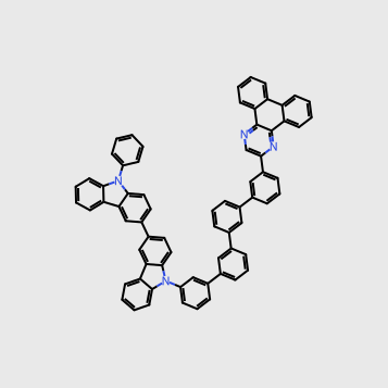 c1ccc(-n2c3ccccc3c3cc(-c4ccc5c(c4)c4ccccc4n5-c4cccc(-c5cccc(-c6cccc(-c7cccc(-c8cnc9c%10ccccc%10c%10ccccc%10c9n8)c7)c6)c5)c4)ccc32)cc1